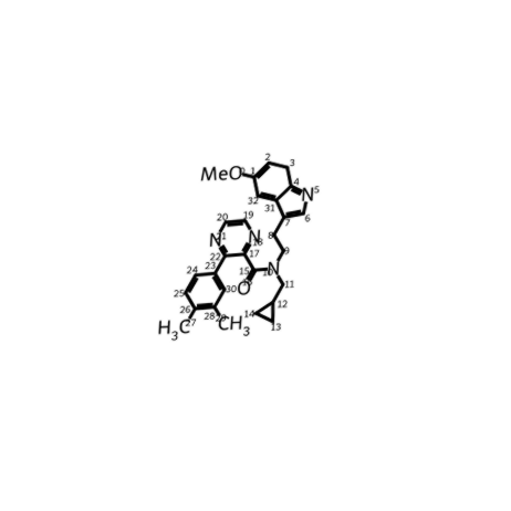 COC1=CCC2=NC=C(CCN(CC3CC3)C(=O)c3nccnc3-c3ccc(C)c(C)c3)C2=C1